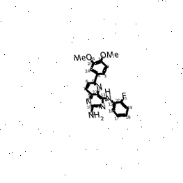 COc1ccc(-c2ccc3nc(N)nc(Nc4ccccc4F)c3n2)cc1OC